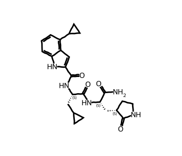 NC(=O)[C@H](C[C@@H]1CCNC1=O)NC(=O)[C@H](CC1CC1)NC(=O)c1cc2c(C3CC3)cccc2[nH]1